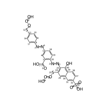 O=C(O)c1cc(/N=N/c2ccc(SOOO)cc2)ccc1/N=N/c1c(SOOO)cc2cc(S(=O)(=O)O)ccc2c1O